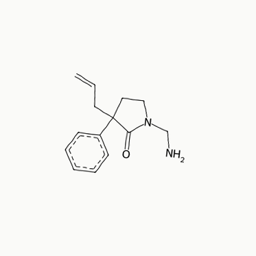 C=CCC1(c2ccccc2)CCN(CN)C1=O